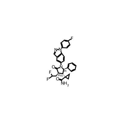 NC(=O)C1([C@@H]2[C@@H](CC(F)F)C(=O)N(c3ccc4c(cnn4-c4ccc(F)cc4)c3)[C@H]2c2ccccc2)CC1